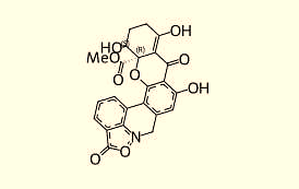 COC(=O)[C@@]12Oc3c(c(O)cc4c3-c3cccc5c(=O)on(c35)C4)C(=O)C1=C(O)CC[C@@H]2O